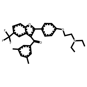 CCN(CC)CCOc1ccc(-c2oc3ccc(C(F)(F)F)cc3c2C(=O)c2cc(C)cc(C)c2)cc1